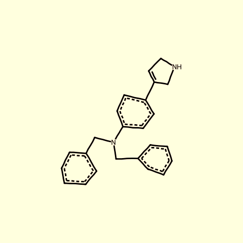 C1=C(c2ccc(N(Cc3ccccc3)Cc3ccccc3)cc2)CNC1